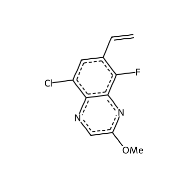 C=Cc1cc(Cl)c2ncc(OC)nc2c1F